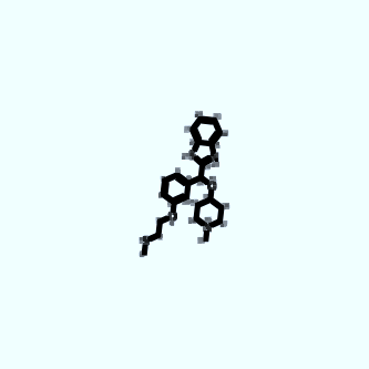 CSCCOc1cccc(C(OC2CCN(C)CC2)c2nc3ccccc3s2)c1